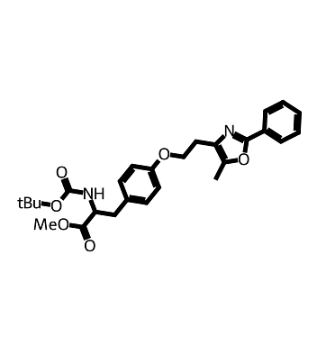 COC(=O)C(Cc1ccc(OCCc2nc(-c3ccccc3)oc2C)cc1)NC(=O)OC(C)(C)C